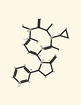 C=C1C(C)N(C2CC2)/C(C)=N/C(N2C(=C)CCC2c2cccnc2)=C\C=C(/C)N1C